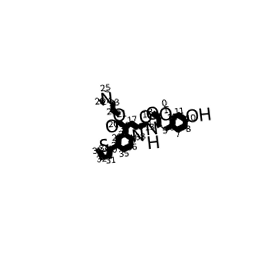 COC(=O)[C@H](Cc1ccc(O)cc1)NC(=O)c1cc(C(=O)OCCN(C)C)c2cc(-c3cccs3)ccc2n1